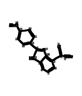 CNC(=O)c1cccc2[nH]c(-c3ccc(OC)cc3)nc12